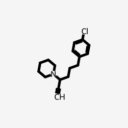 C#CC(CCCc1ccc(Cl)cc1)N1CCCCC1